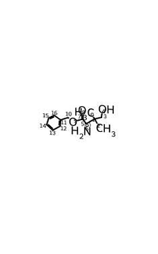 CC(C)(CO)[C@H](N)C(=O)OCc1ccccc1